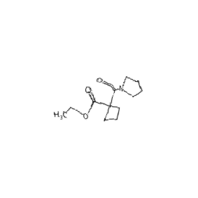 CCOC(=O)C1(C(=O)N2CCCC2)CCC1